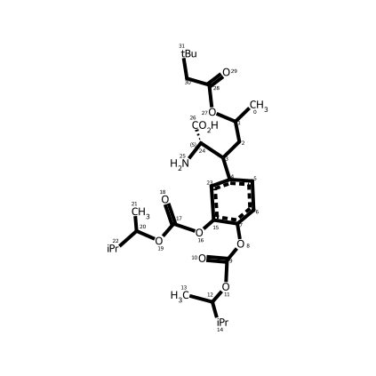 CC(CC(c1ccc(OC(=O)OC(C)C(C)C)c(OC(=O)OC(C)C(C)C)c1)[C@H](N)C(=O)O)OC(=O)CC(C)(C)C